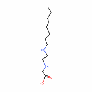 CCCCCCCCNCCNCC(=O)O